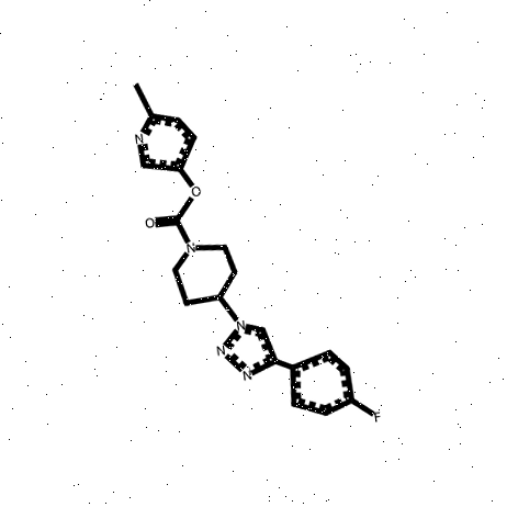 Cc1ccc(OC(=O)N2CCC(n3cc(-c4ccc(F)cc4)nn3)CC2)cn1